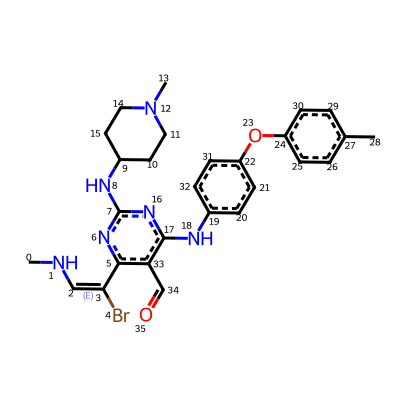 CN/C=C(/Br)c1nc(NC2CCN(C)CC2)nc(Nc2ccc(Oc3ccc(C)cc3)cc2)c1C=O